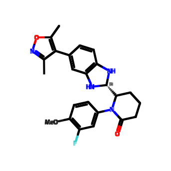 COc1ccc(N2C(=O)CCCC2[C@H]2Nc3ccc(-c4c(C)noc4C)cc3N2)cc1F